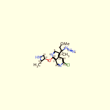 COC[C@@](C)(N=[N+]=[N-])c1cnc(O[C@@H]2CN[C@H]2C)c2cnc(Cl)cc12